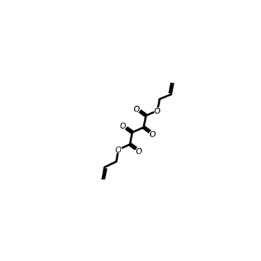 C=CCOC(=O)C(=O)C(=O)C(=O)OCC=C